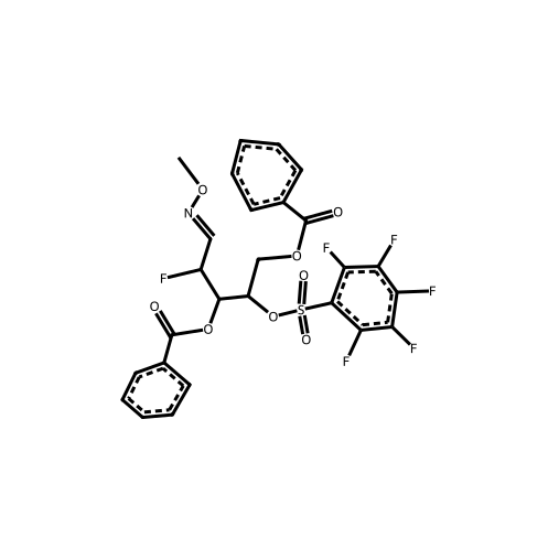 CON=CC(F)C(OC(=O)c1ccccc1)C(COC(=O)c1ccccc1)OS(=O)(=O)c1c(F)c(F)c(F)c(F)c1F